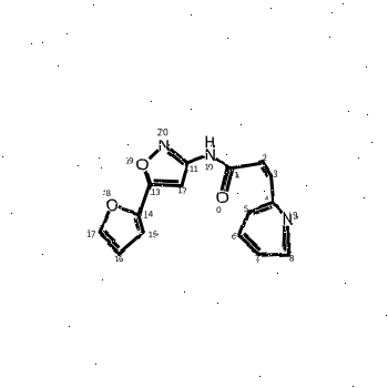 O=C(/C=C\c1ccccn1)Nc1cc(-c2ccco2)on1